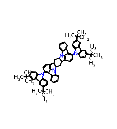 CC(C)(C)c1ccc2c(c1)c1cc(C(C)(C)C)ccc1n2-c1ccc2c3c1c1ccccc1n3C1CC3c4ccc(-n5c6ccc(C(C)(C)C)cc6c6cc(C(C)(C)C)ccc65)c5c6ccccc6n(c45)C3CC21